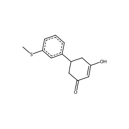 CSc1cccc(C2CC(=O)C=C(O)C2)c1